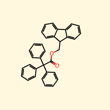 O=C(OCC1c2ccccc2-c2ccccc21)C(c1ccccc1)(c1ccccc1)c1ccccc1